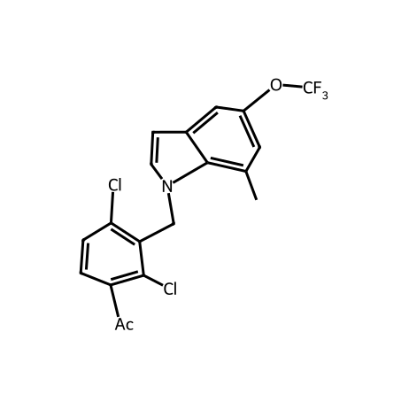 CC(=O)c1ccc(Cl)c(Cn2ccc3cc(OC(F)(F)F)cc(C)c32)c1Cl